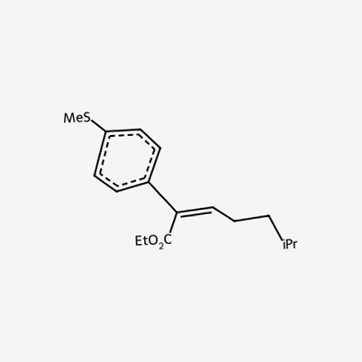 CCOC(=O)C(=CCCC(C)C)c1ccc(SC)cc1